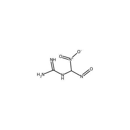 N=C(N)NC(N=O)[N+](=O)[O-]